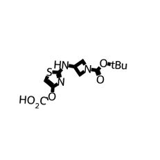 CC(C)(C)OC(=O)N1CC(Nc2nc(OC(=O)O)cs2)C1